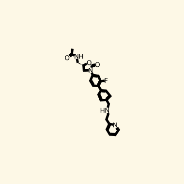 CC(=O)NC[C@H]1CN(c2ccc(-c3ccc(CNCCc4ccccn4)cc3)c(F)c2)C(=O)O1